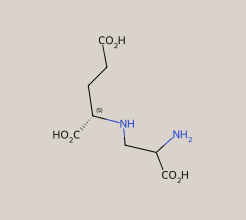 NC(CN[C@@H](CCC(=O)O)C(=O)O)C(=O)O